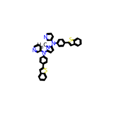 Cn1c(N(c2ccc(-c3cc4ccccc4s3)cc2)c2cccnc2)ccc1N(c1ccc(-c2cc3ccccc3s2)cc1)c1cccnc1